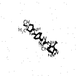 CCN1CCc2[nH]c(-c3ccc(-c4nc(Nc5ccc6[nH]ncc6c5C5CC5)n(C)n4)cc3)nc2C1C